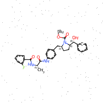 C[C@H](NC(=O)c1ccccc1F)C(=O)Nc1ccc(C[C@@H]2CC[C@H]([C@H](O)c3ccccc3)N2C(=O)OC(C)(C)C)cc1